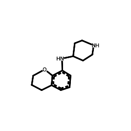 c1cc2c(c(NC3CCNCC3)c1)OCCC2